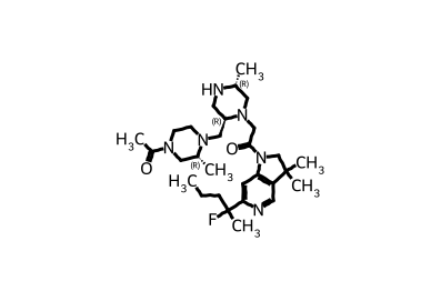 CCCC(C)(F)c1cc2c(cn1)C(C)(C)CN2C(=O)CN1C[C@@H](C)NC[C@@H]1CN1CCN(C(C)=O)C[C@H]1C